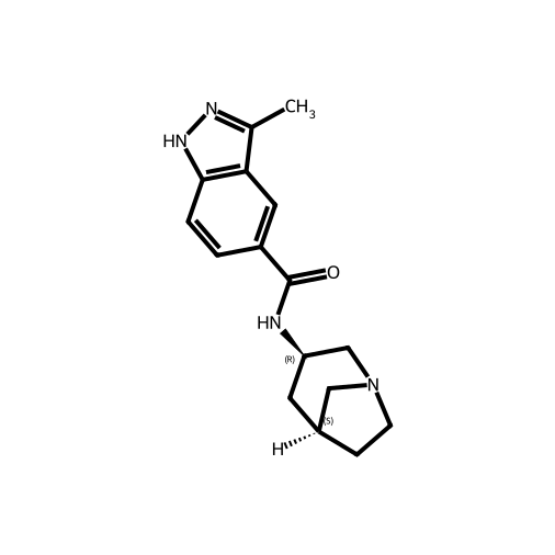 Cc1n[nH]c2ccc(C(=O)N[C@@H]3C[C@@H]4CCN(C4)C3)cc12